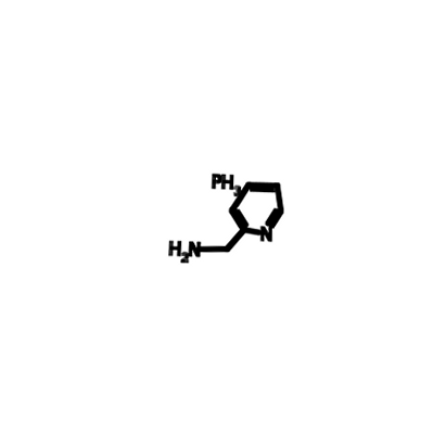 NCc1ccccn1.P